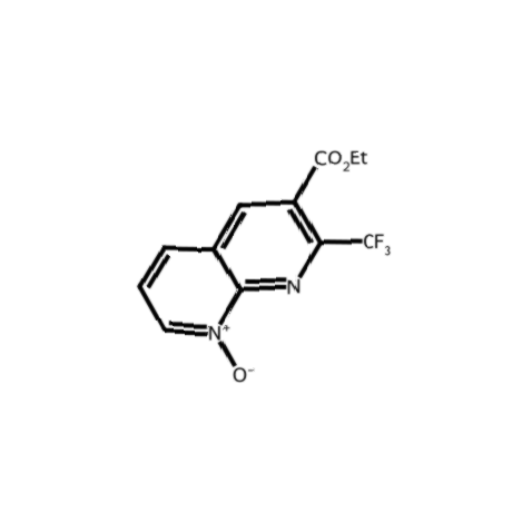 CCOC(=O)c1cc2ccc[n+]([O-])c2nc1C(F)(F)F